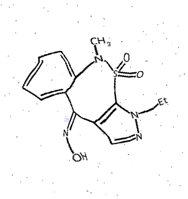 CCn1ncc2c1S(=O)(=O)N(C)c1ccccc1/C2=N/O